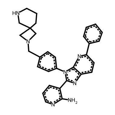 Nc1ncccc1-c1nc2ccc(-c3ccccc3)nc2n1-c1ccc(CN2CC3(CCCNC3)C2)cc1